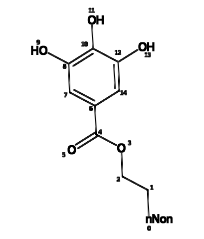 CCCCCCCCCCCOC(=O)c1cc(O)c(O)c(O)c1